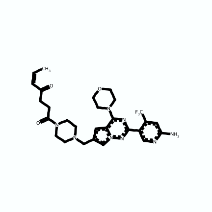 C/C=C\C(=O)CCC(=O)N1CCN(Cc2cc3c(N4CCOCC4)nc(-c4cnc(N)cc4C(F)(F)F)nn3c2)CC1